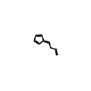 C=CCC=C1C=CC=C1